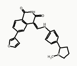 CN1CCCC1c1ccc(N/C=C2\C(=O)NC(=O)c3ccc(-c4ccoc4)cc32)cc1